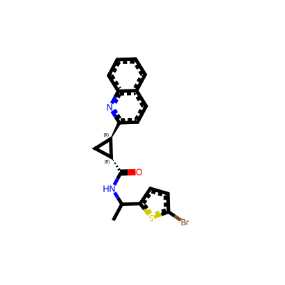 CC(NC(=O)[C@@H]1C[C@H]1c1ccc2ccccc2n1)c1ccc(Br)s1